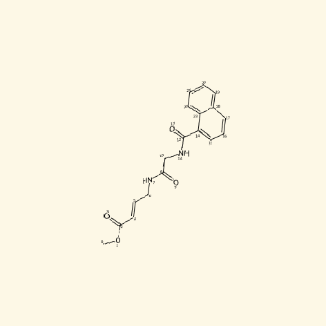 COC(=O)/C=C/CNC(=O)CNC(=O)c1cccc2ccccc12